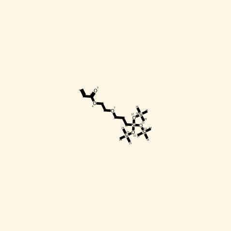 C=CC(=O)OCCOCCC[Si](O[Si](C)(C)C)(O[Si](C)(C)C)O[Si](C)(C)C